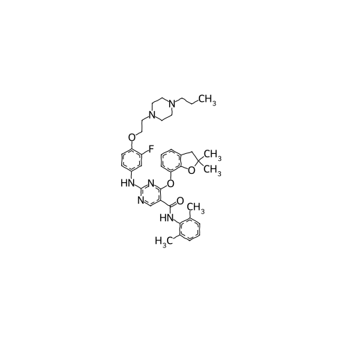 CCCN1CCN(CCOc2ccc(Nc3ncc(C(=O)Nc4c(C)cccc4C)c(Oc4cccc5c4OC(C)(C)C5)n3)cc2F)CC1